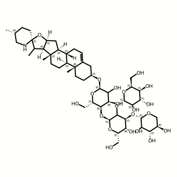 CC1[C@H]2[C@H](C[C@H]3[C@@H]4CC=C5C[C@@H](O[C@@H]6O[C@@H](CO)[C@H](O[C@@H]7O[C@@H](CO)[C@@H](O)[C@H](O[C@@H]8OC[C@@H](O)[C@H](O)C8O)C7O[C@@H]7O[C@@H](CO)[C@@H](O)[C@H](O)[C@H]7O)[C@H](O)C6O)CC[C@]5(C)[C@H]4CC[C@@]32C)O[C@@]12CC[C@@H](C)CN2